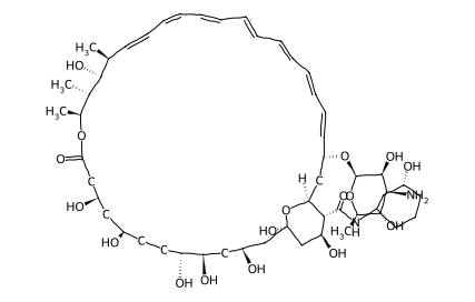 C[C@@H]1[C@H](O)[C@@H](C)/C=C/C=C/C=C/C=C/C=C/C=C/C=C/[C@H](O[C@@H]2O[C@H](C)[C@@H](O)[C@H](N)[C@@H]2O)C[C@@H]2O[C@](O)(C[C@@H](O)C[C@@H](O)[C@H](O)CC[C@@H](O)C[C@@H](O)CC(=O)O[C@H]1C)C[C@H](O)[C@H]2C(=O)NC1CCC[C@@H](O)C1